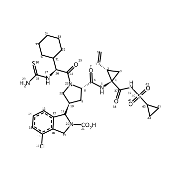 C=C[C@@H]1C[C@]1(NC(=O)[C@@H]1C[C@@H](C2c3cccc(Cl)c3CN2C(=O)O)CN1C(=O)[C@@H](NC(N)=S)C1CCCCC1)C(=O)NS(=O)(=O)C1CC1